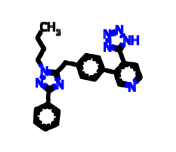 CCCCn1nc(-c2ccccc2)nc1Cc1ccc(-c2cnccc2-c2nnn[nH]2)cc1